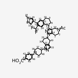 CC(=O)N1CCc2c(c(N3CCCc4cc(-c5cnn(C)c5)c(C(F)F)cc43)nn2C2CCc3c(cnn3C3CCN(c4ccc(C(=O)O)cc4)CC3)C2)C1